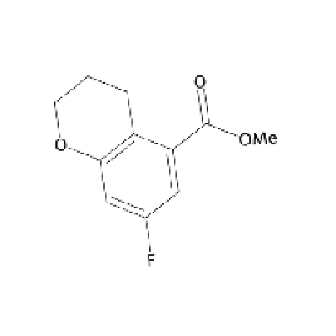 COC(=O)c1cc(F)cc2c1CCCO2